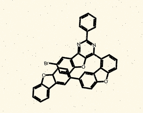 Brc1ccc2oc3c(-c4cccc5oc6ccc(C7=CCC8Oc9ccccc9C8=C7)cc6c45)nc(-c4ccccc4)nc3c2c1